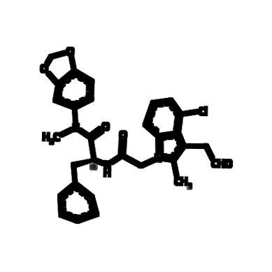 Cc1c(CC=O)c2c(Cl)cccc2n1CC(=O)N[C@@H](Cc1ccccc1)C(=O)N(C)c1ccc2c(c1)OCO2